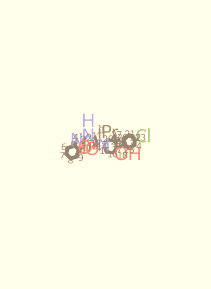 CC(C)[C@@H](Nc1nc2ccccc2o1)C(=O)N1CC[C@](O)(c2ccc(Cl)cc2)C(C)(C)C1